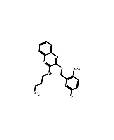 COc1ccc(Br)cc1CSc1nc2ccccc2nc1NCCCN